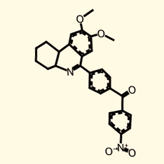 COc1cc2c(cc1OC)C1CCCCC1N=C2c1ccc(C(=O)c2ccc([N+](=O)[O-])cc2)cc1